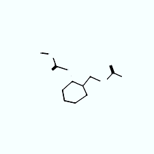 CC(=S)OCC1CCCC[C@@H]1NC(=O)OC(C)(C)C